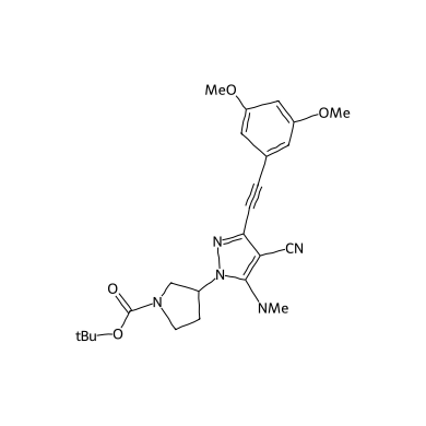 CNc1c(C#N)c(C#Cc2cc(OC)cc(OC)c2)nn1C1CCN(C(=O)OC(C)(C)C)C1